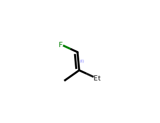 CC/C(C)=C/F